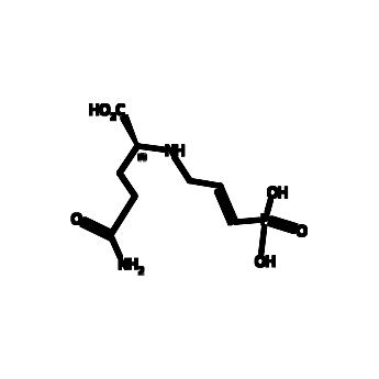 NC(=O)CC[C@H](NCC=CP(=O)(O)O)C(=O)O